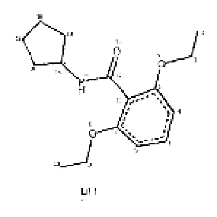 CCOc1cccc(OCC)c1C(=O)P[C]1CCCC1.[LiH]